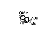 CCCC[N+](CCCC)(CCCC)Cc1cccc(OC)c1.[Cl-]